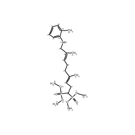 C/C(=C\CC(P(=O)(ON)ON)P(=O)(ON)ON)CC/C=C(\C)CNc1ccccc1C